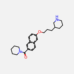 O=C(c1ccc2cc(OCCCC3CCCNC3)ccc2c1)N1CCCCC1